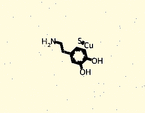 NCCc1ccc(O)c(O)c1.[S]=[Cu]